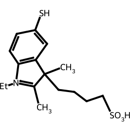 CC[N+]1=C(C)C(C)(CCCCS(=O)(=O)O)c2cc(S)ccc21